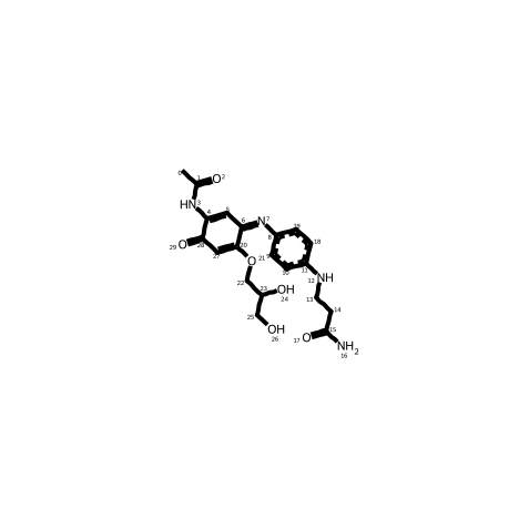 CC(=O)NC1=CC(=Nc2ccc(NCCC(N)=O)cc2)C(OCC(O)CO)=CC1=O